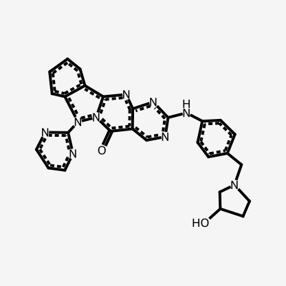 O=c1c2cnc(Nc3ccc(CN4CCC(O)C4)cc3)nc2nc2c3ccccc3n(-c3ncccn3)n12